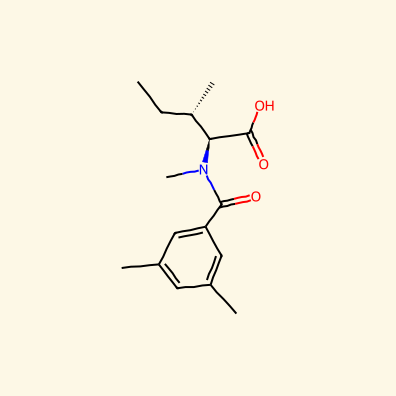 CC[C@H](C)[C@@H](C(=O)O)N(C)C(=O)c1cc(C)cc(C)c1